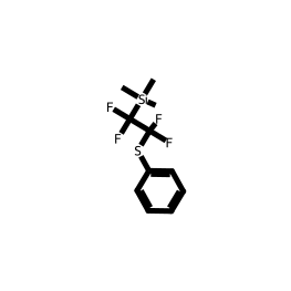 C[Si](C)(C)C(F)(F)C(F)(F)Sc1ccccc1